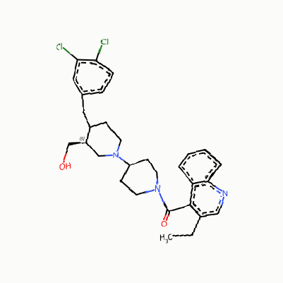 CCc1cnc2ccccc2c1C(=O)N1CCC(N2CCC(Cc3ccc(Cl)c(Cl)c3)[C@H](CO)C2)CC1